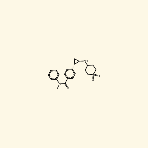 CN(C(=O)c1ccc([C@@H]2C[C@H]2NC2CCS(=O)(=O)CC2)cc1)c1ccccc1